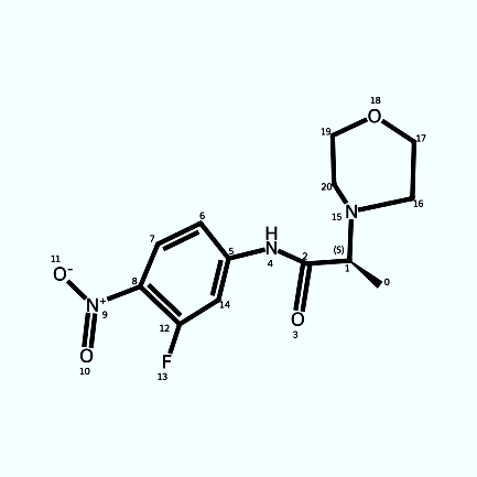 C[C@@H](C(=O)Nc1ccc([N+](=O)[O-])c(F)c1)N1CCOCC1